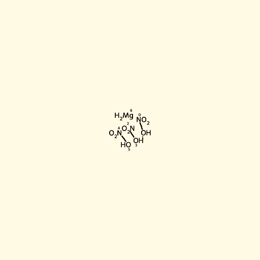 O=[N+]([O-])O.O=[N+]([O-])O.O=[N+]([O-])O.[MgH2]